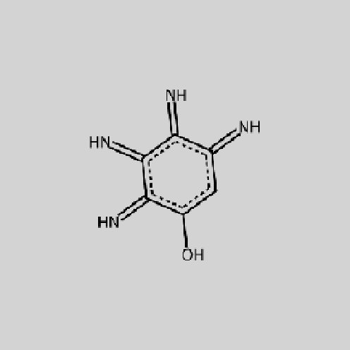 N=c1cc(O)c(=N)c(=N)c1=N